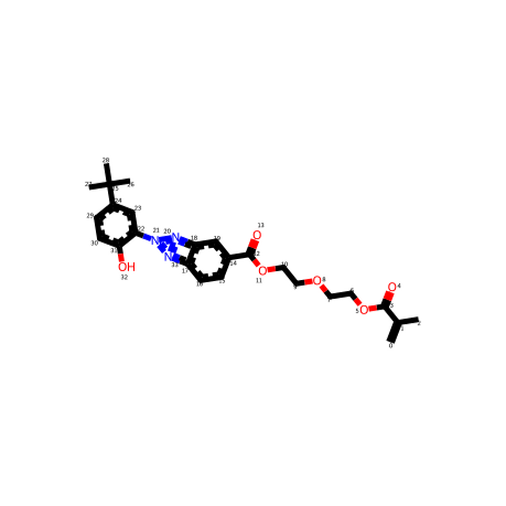 C=C(C)C(=O)OCCOCCOC(=O)c1ccc2c(c1)n1n(-c3cc(C(C)(C)C)ccc3O)n21